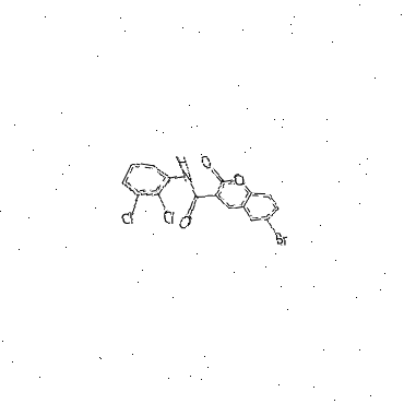 O=C(Nc1cccc(Cl)c1Cl)c1cc2cc(Br)ccc2oc1=O